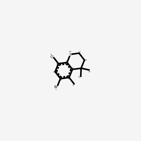 Cc1c(Br)cc(Cl)c2c1C(C)(C)CCS2